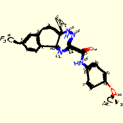 CCCC12Cc3cc(C(F)(F)F)ccc3C1=NC(C(=O)Nc1ccc(OC(F)(F)F)cc1)=NN2